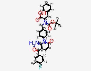 Cc1cc(C(=O)c2ccc(=O)n(-c3ccc(CN(C(=O)OC(C)(C)C)C(Cc4ccccc4)C(=O)O)cc3)c2N)ccc1F